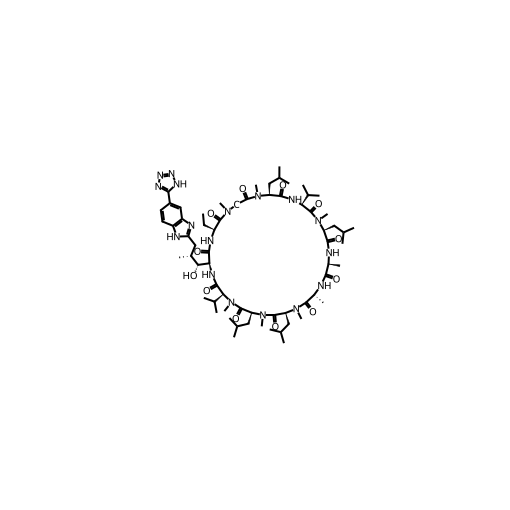 CC[C@@H]1NC(=O)[C@H]([C@H](O)[C@H](C)Cc2nc3cc(-c4nnn[nH]4)ccc3[nH]2)NC(=O)[C@H](C(C)C)N(C)C(=O)[C@H](CC(C)C)N(C)C(=O)[C@H](CC(C)C)N(C)C(=O)[C@@H](C)NC(=O)[C@H](C)NC(=O)[C@H](CC(C)C)N(C)C(=O)[C@H](C(C)C)NC(=O)[C@H](CC(C)C)N(C)C(=O)CN(C)C1=O